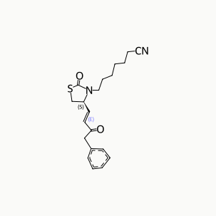 N#CCCCCCCN1C(=O)SC[C@@H]1/C=C/C(=O)Cc1ccccc1